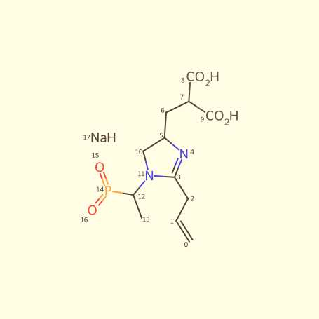 C=CCC1=NC(CC(C(=O)O)C(=O)O)CN1C(C)P(=O)=O.[NaH]